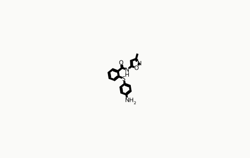 Cc1cc(NC(=O)c2ccccc2Sc2ccc(N)cc2)on1